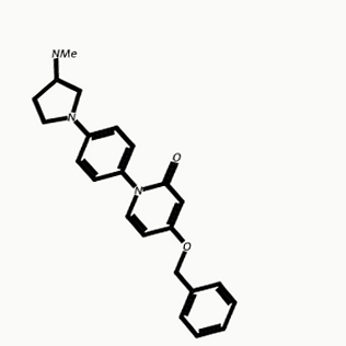 CNC1CCN(c2ccc(-n3ccc(OCc4ccccc4)cc3=O)cc2)C1